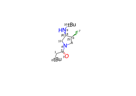 CC(C)(C)CC(=O)N1C[C@H](F)[C@H](NC(C)(C)C)C1